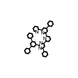 c1ccc(-c2cc(-c3ccccc3)cc(-c3nc(-c4ccccc4)cc(-c4cccc(-c5cc(-c6ccccc6)cc(-c6ccccn6)n5)n4)n3)c2)cc1